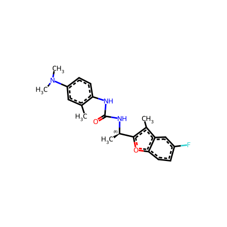 Cc1cc(N(C)C)ccc1NC(=O)N[C@H](C)c1oc2ccc(F)cc2c1C